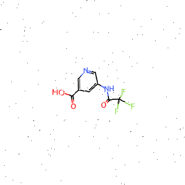 O=C(O)c1cncc(NC(=O)C(F)(F)F)c1